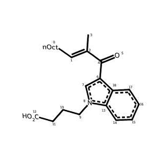 CCCCCCCCC=C(C)C(=O)c1cn(CCCC(=O)O)c2ccccc12